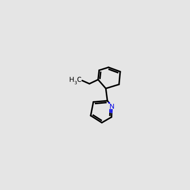 CCC1=CC=CCC1c1ccccn1